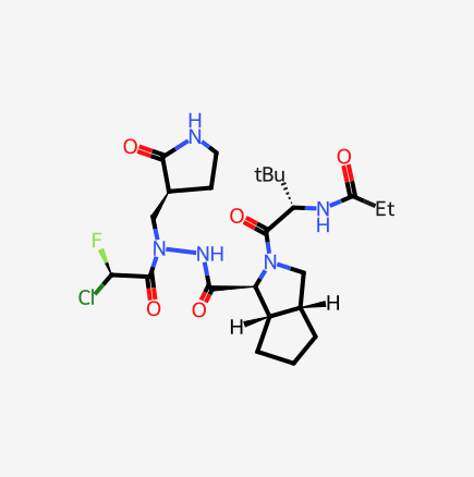 CCC(=O)N[C@H](C(=O)N1C[C@@H]2CCC[C@@H]2[C@H]1C(=O)NN(C[C@@H]1CCNC1=O)C(=O)[C@H](F)Cl)C(C)(C)C